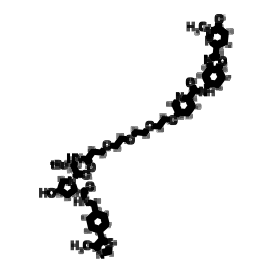 Cc1ncsc1-c1ccc(CNC(=O)[C@@H]2C[C@@H](O)CN2C(=O)[C@@H](NC(=O)CCOCCOCCOCCOc2ccc(C(=O)Nc3ccc4oc(-c5ccc(=O)n(C)n5)nc4c3)nc2)C(C)(C)C)cc1